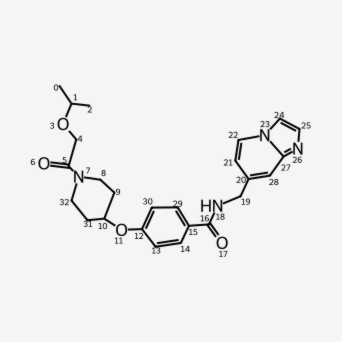 CC(C)OCC(=O)N1CCC(Oc2ccc(C(=O)NCc3ccn4ccnc4c3)cc2)CC1